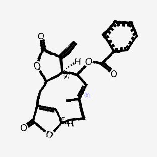 C=C1C(=O)OC2CC3=C[C@@H](C/C(C)=C/C(OC(=O)c4ccccc4)[C@H]12)OC3=O